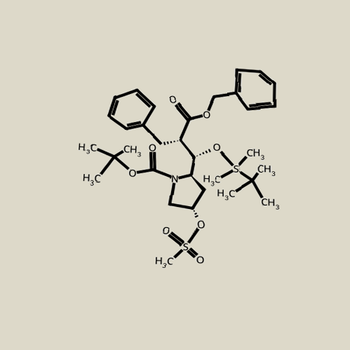 CC(C)(C)OC(=O)N1C[C@@H](OS(C)(=O)=O)C[C@@H]1[C@@H](O[Si](C)(C)C(C)(C)C)[C@H](Cc1ccccc1)C(=O)OCc1ccccc1